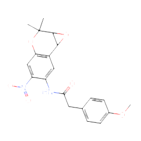 COc1ccc(CC(=O)Nc2cc3c(cc2[N+](=O)[O-])OC(C)(C)C2OC32)cc1